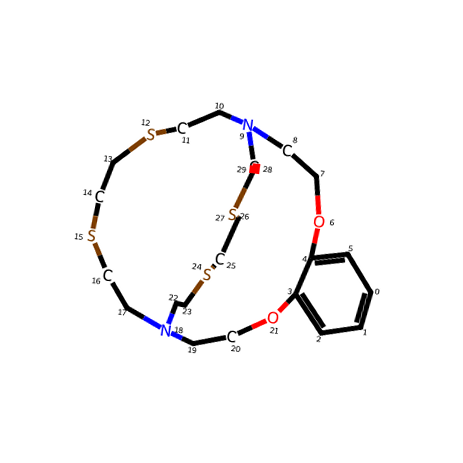 c1ccc2c(c1)OCCN1CCSCCSCCN(CCO2)CCSCCSCC1